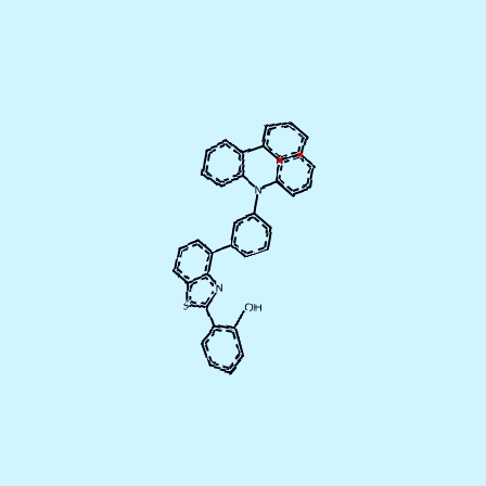 Oc1ccccc1-c1nc2c(-c3cccc(N(c4ccccn4)c4ccccc4-c4ccccc4)c3)cccc2s1